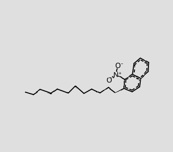 CCCCCCCCCCCCc1ccc2ccccc2c1[N+](=O)[O-]